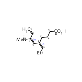 C=C/C(=C\C(=C/CC)CCCC(=O)O)NC